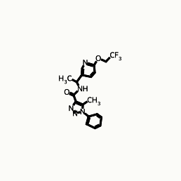 Cc1c(C(=O)NC(C)c2ccc(OCC(F)(F)F)nc2)nnn1-c1ccccc1